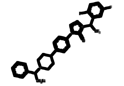 CCOC(=O)C(c1ccccc1)N1CCC(c2ccc(-n3ccn(C(C)c4cc(F)ccc4F)c3=O)cc2)CC1